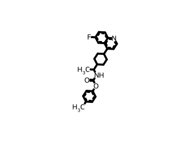 Cc1ccc(OC(=O)NC(C)C2CCC(c3ccnc4ccc(F)cc34)CC2)cc1